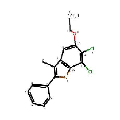 Cc1c(-c2ccccc2)sc2c(Cl)c(Cl)c(OCC(=O)O)cc12